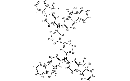 CC1(C)c2ccccc2-c2ccc(N(c3cccc(-c4cccc(N(c5ccc6c(c5)C(C)(C)c5ccccc5-6)c5ccc6c(c5)C(C)(C)c5ccccc5-6)c4)c3)c3ccc4c(c3)C(C)(C)c3ccccc3-4)cc21